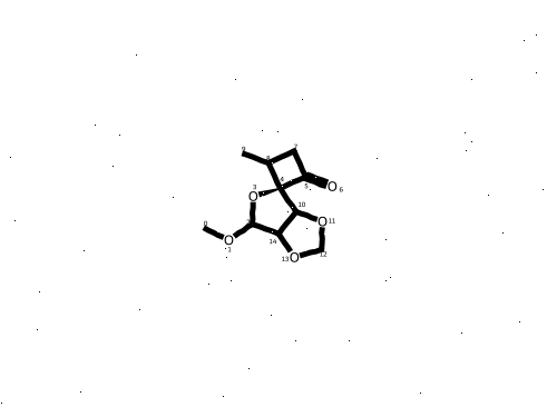 COC1O[C@@]2(C(=O)CC2C)C2OCOC12